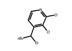 CCCCC(CC)c1ccnc(Cl)c1Cl